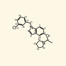 CC(Oc1ccc2c(ccn2Cc2cccc(Cl)c2)c1)N1CCCC1